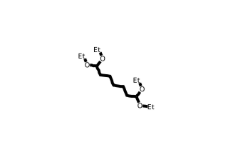 CCOC(CCCCCC(OCC)OCC)OCC